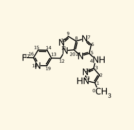 Cc1cc(Nc2cnc3cnn(Cc4ccc(F)nc4)c3n2)n[nH]1